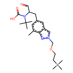 Cc1cc(CC(C=O)N(C(=O)O)C(C)(C)C)cc2cn(COCC[Si](C)(C)C)nc12